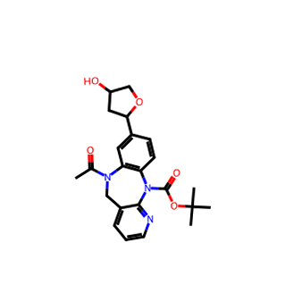 CC(=O)N1Cc2cccnc2N(C(=O)OC(C)(C)C)c2ccc(C3CC(O)CO3)cc21